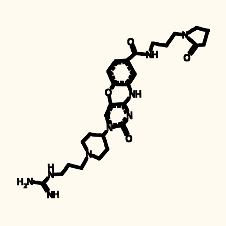 N=C(N)NCCCN1CCC(n2cc3c(nc2=O)Nc2cc(C(=O)NCCCN4CCCC4=O)ccc2O3)CC1